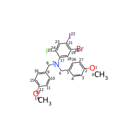 COc1ccc(CN(Cc2ccc(OC)cc2)c2cc(Br)c(I)cc2F)cc1